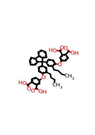 CCCCc1cc(C2(c3ccc(Oc4ccc(C(=O)O)c(C(=O)O)c4)c(CCCC)c3)c3ccccc3-c3ccccc32)ccc1Oc1ccc(C(=O)O)c(C(=O)O)c1